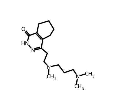 CN(C)CCCN(C)CCc1n[nH]c(=O)c2c1CCCC2